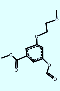 COCCOc1cc(OC=O)cc(C(=O)OC)c1